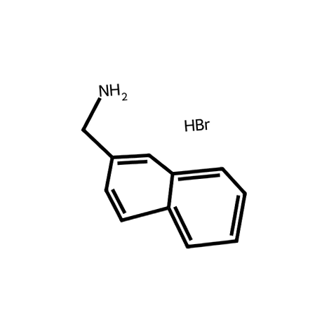 Br.NCc1ccc2ccccc2c1